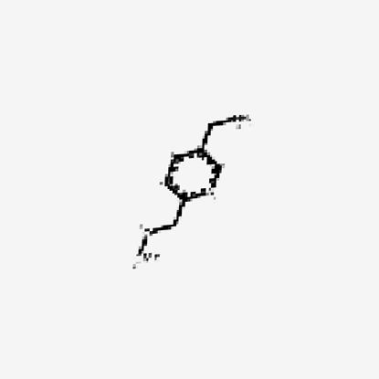 COOCc1ccc(CN)cn1